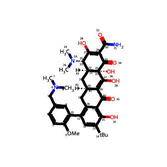 COc1ccc(CN(C)C)cc1-c1cc(C(C)(C)C)c(O)c2c1C[C@H]1C[C@H]3[C@H](N(C)C)C(O)=C(C(N)=O)C(=O)[C@@]3(O)C(O)=C1C2=O